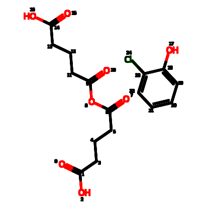 O=C(O)CCCC(=O)OC(=O)CCCC(=O)O.Oc1ccccc1Cl